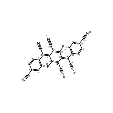 N#CC(c1ccc(C#N)cc1)=c1c(F)c(C#N)c(=C(C#N)c2ccc(C#N)cc2)c(F)c1C#N